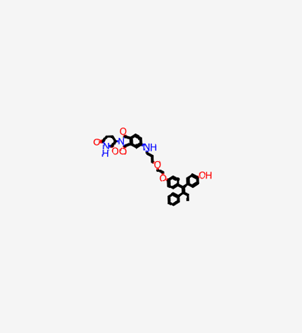 CC/C(=C(\c1ccc(O)cc1)c1ccc(OCCOCCCNc2ccc3c(c2)C(=O)N(C2CCC(=O)NC2=O)C3=O)cc1)c1ccccc1